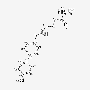 O=C(CCCNCc1ccc(-c2ccc(Cl)cc2)cc1)NO